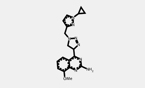 COc1cccc2c(C3CN(Cc4ccn(C5CC5)n4)N=N3)nc(N)nc12